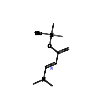 C=C(/C=C/N(C)C)O[Si](C)(C)C(C)(C)C